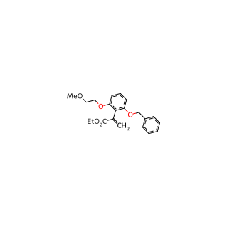 C=C(C(=O)OCC)c1c(OCCOC)cccc1OCc1ccccc1